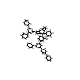 c1ccc(-c2nc(-c3ccc(-c4ccccn4)cc3)cc(-c3ccc4c(c3)Oc3ccccc3C43c4ccccc4-c4cc(-c5nc(-c6ccccc6)nc(-c6ccccc6)n5)ccc43)n2)cc1